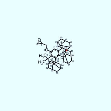 CC(C)(C)c1c(OCC2CO2)cc(C23CC4CC(CC(C4)C2)C3)c(C23CC4CC(CC(C4)C2)C3)c1C12CC3CC(CC(C3)C1)C2